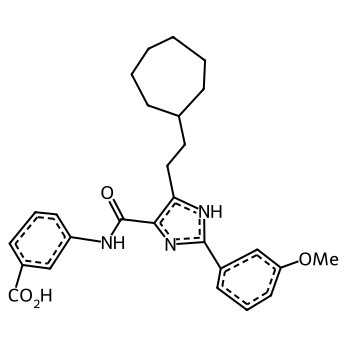 COc1cccc(-c2nc(C(=O)Nc3cccc(C(=O)O)c3)c(CCC3CCCCCC3)[nH]2)c1